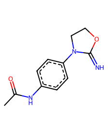 CC(=O)Nc1ccc(N2CCOC2=N)cc1